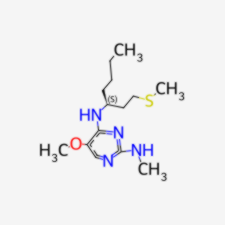 CCCC[C@@H](CCSC)Nc1nc(NC)ncc1OC